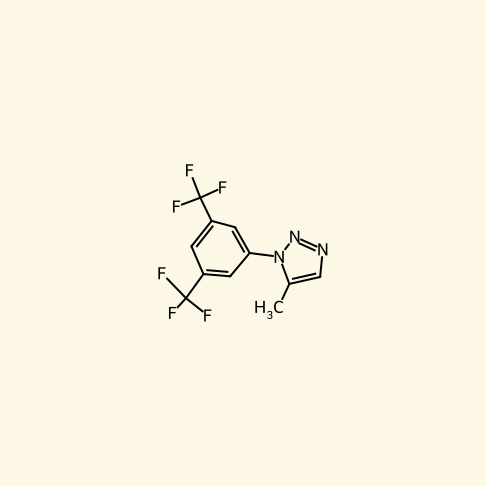 Cc1cnnn1-c1cc(C(F)(F)F)cc(C(F)(F)F)c1